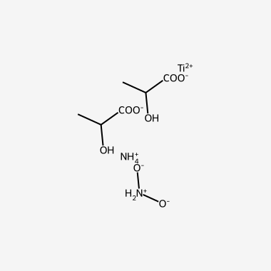 CC(O)C(=O)[O-].CC(O)C(=O)[O-].[NH4+].[O-][NH2+][O-].[Ti+2]